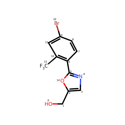 OCc1cnc(-c2ccc(Br)cc2C(F)(F)F)o1